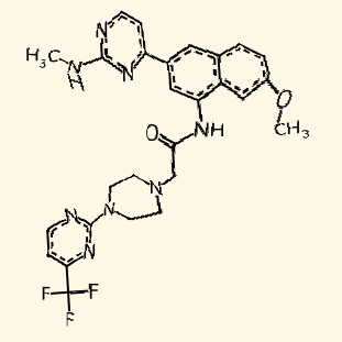 CNc1nccc(-c2cc(NC(=O)CN3CCN(c4nccc(C(F)(F)F)n4)CC3)c3cc(OC)ccc3c2)n1